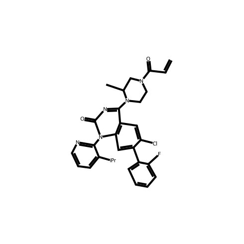 C=CC(=O)N1CCN(c2nc(=O)n(-c3ncccc3C(C)C)c3cc(-c4ccccc4F)c(Cl)cc23)C(C)C1